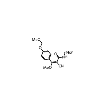 CCCCCCCCCNC(=O)C(C#N)=C(OC)c1ccc(OCOC)cc1